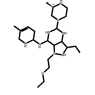 CCOCCN1NC(CC)C2NC(N3CCN[C@H](C)C3)NC(NC3CC=C(C)CN3)C21